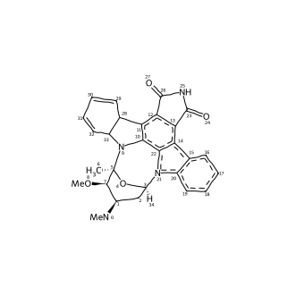 CN[C@@H]1C[C@H]2O[C@@](C)([C@@H]1OC)N1c3c(c4c(c5c6ccccc6n2c35)C(=O)NC4=O)C2C=CC=CC21